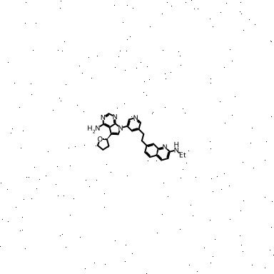 CCNc1ccc2ccc(CCc3cncc(-n4cc([C@H]5CCCO5)c5c(N)ncnc54)c3)cc2n1